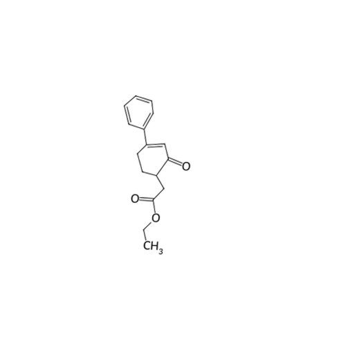 CCOC(=O)CC1CCC(c2ccccc2)=CC1=O